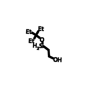 CCC(CC)(CC)O[SiH2]CCO